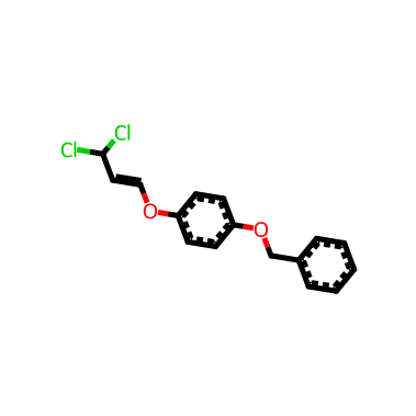 ClC(Cl)C=COc1ccc(OCc2ccccc2)cc1